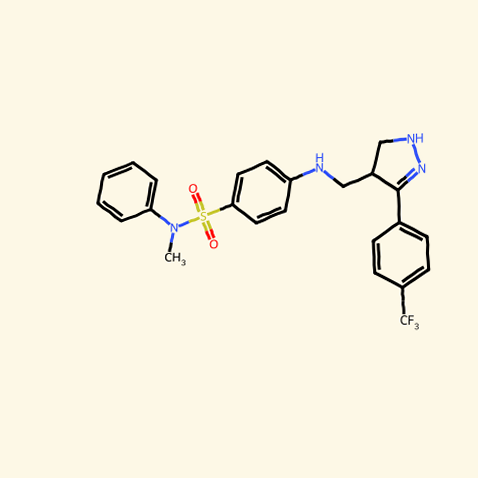 CN(c1ccccc1)S(=O)(=O)c1ccc(NCC2CNN=C2c2ccc(C(F)(F)F)cc2)cc1